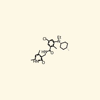 CCN(c1cc(Cl)cc(C(=O)NCc2c(C)cc(C)[nH]c2=O)c1C)[C@H]1CC[C@@H](C)CC1